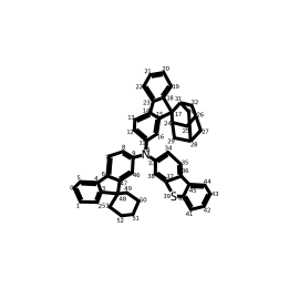 c1ccc2c(c1)-c1ccc(N(c3ccc4c(c3)C3(c5ccccc5-4)C4CC5CC(C4)CC3C5)c3ccc4c(c3)sc3ccccc34)cc1C21CCCCC1